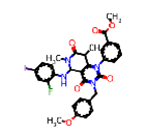 COC(=O)c1cccc(-n2c3c(c(=O)n(Cc4ccc(OC)cc4)c2=O)C(Nc2ccc(I)cc2F)N(C)C(=O)C3C)c1